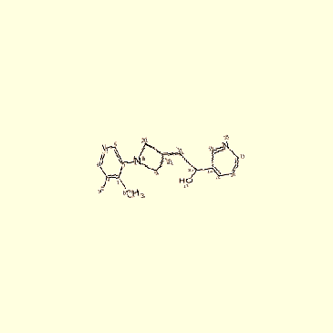 Cc1c(F)cncc1N1CC(CC(O)c2cccnc2)C1